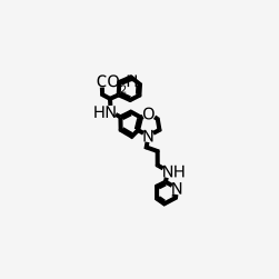 O=C(O)CC(Nc1ccc2c(c1)OCCN2CCCNc1ccccn1)c1ccccc1